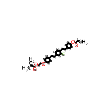 C=CC(=O)Oc1ccc(/C=C/c2ccc(/C=C/c3ccc(OCCOC(=O)C(=C)C)cc3)cc2F)cc1